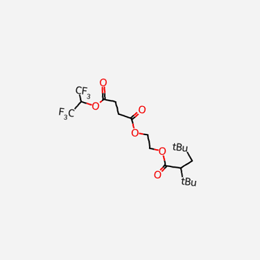 CC(C)(C)CC(C(=O)OCCOC(=O)CCC(=O)OC(C(F)(F)F)C(F)(F)F)C(C)(C)C